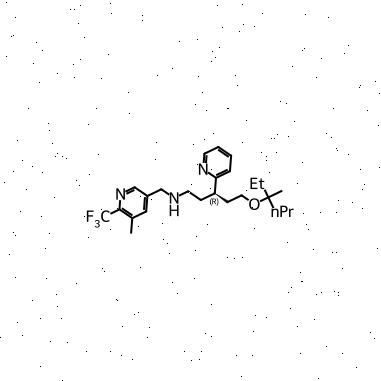 CCCC(C)(CC)OCC[C@@H](CCNCc1cnc(C(F)(F)F)c(C)c1)c1ccccn1